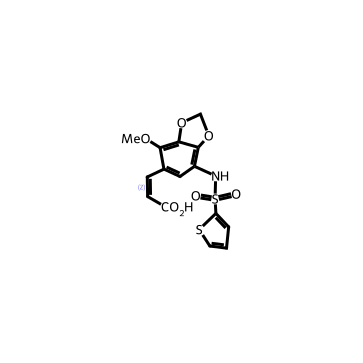 COc1c(/C=C\C(=O)O)cc(NS(=O)(=O)c2cccs2)c2c1OCO2